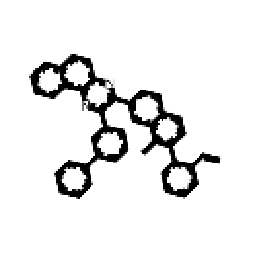 C=Cc1ccccc1-c1ccc2ccc(-c3nc4ccc5ccccc5c4nc3-c3cccc(-c4ccccc4)c3)cc2c1C